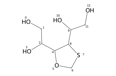 OCC(O)C1OCSC1C(O)CO